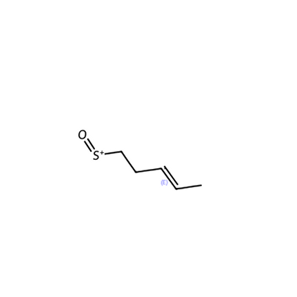 C/C=[C]/CC[S+]=O